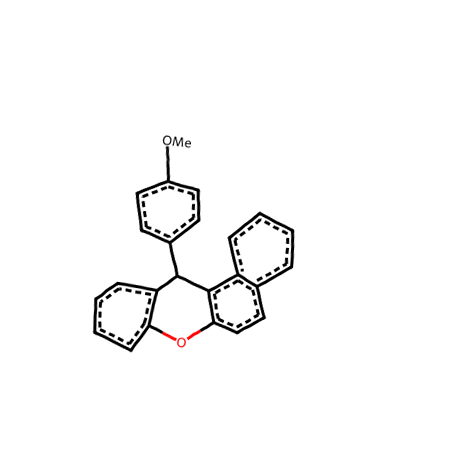 COc1ccc(C2c3ccccc3Oc3ccc4ccccc4c32)cc1